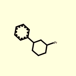 CC(C)C1CCCC(c2ccccc2)C1